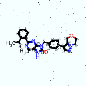 CC(C)c1ccccc1-c1ncc2[nH]c(=O)n(Cc3ccc(-c4cnn5c4COCC5)cc3)c2n1